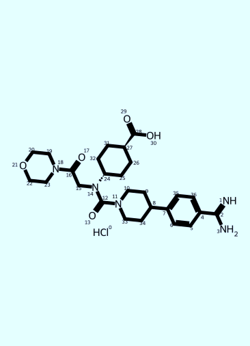 Cl.N=C(N)c1ccc(C2CCN(C(=O)N(CC(=O)N3CCOCC3)[C@H]3CC[C@H](C(=O)O)CC3)CC2)cc1